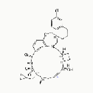 C[C@@H]1C/C=C\[C@H](O)[C@@H]2CC[C@H]2CN2C[C@@]3(CCCc4cc(Cl)ccc43)COc3ccc(cc32)C(=O)NS(=O)(=O)[C@H]1CC1CC1